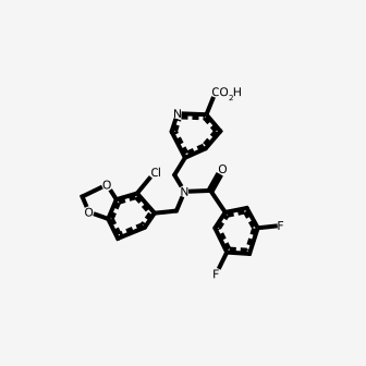 O=C(O)c1ccc(CN(Cc2ccc3c(c2Cl)OCO3)C(=O)c2cc(F)cc(F)c2)cn1